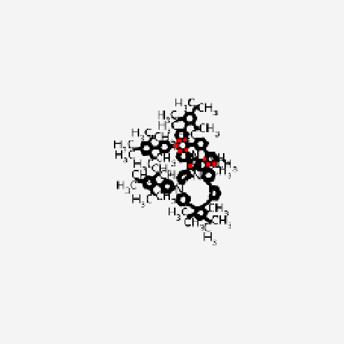 CC(C)c1cc(C(C)C)c(-c2ccc(N(c3ccc(-c4c(C(C)C)cc(C(C)C)cc4C(C)C)cc3)c3ccc4c(c3)N(c3c(-c5ccccc5)cccc3-c3ccccc3)c3cc(C(C)(C)C)cc5c3B4c3ccc4cc3N5c3c(-c5ccccc5)cccc3-c3cccc(c3)C(C)c3cc(C(C)C)cc(C(C)C)c3-c3ccc(cc3)N4c3ccc(-c4c(C(C)C)cc(C(C)C)cc4C(C)C)cc3)cc2)c(C(C)C)c1